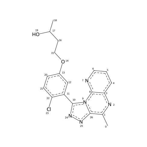 Cc1nc2cccnc2n2c(-c3cc(OCCC(C)O)ccc3Cl)nnc12